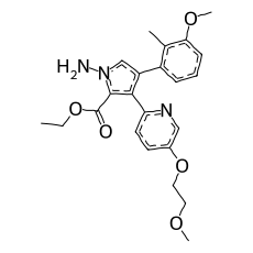 CCOC(=O)c1c(-c2ccc(OCCOC)cn2)c(-c2cccc(OC)c2C)cn1N